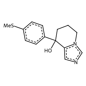 CSc1ccc(C2(O)CCCn3cncc32)cc1